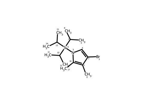 Cc1c(Br)cn([Si](C(C)C)(C(C)C)C(C)C)c1C